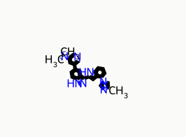 Cc1cn(-c2cccc3[nH]c(-c4n[nH]c5ccc(-c6cncc(N(C)C)c6)cc45)cc23)cn1